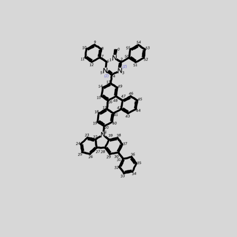 C=N/C(=N\C(=N/Cc1ccccc1)c1ccc2c3ccc(-n4c5ccccc5c5cc(-c6ccccc6)ccc54)cc3c3ccccc3c2c1)c1ccccc1